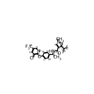 CC(NC(=O)c1cn(C)nc1C(F)F)c1ccc(Oc2ncc(C(F)(F)F)cc2Cl)cc1